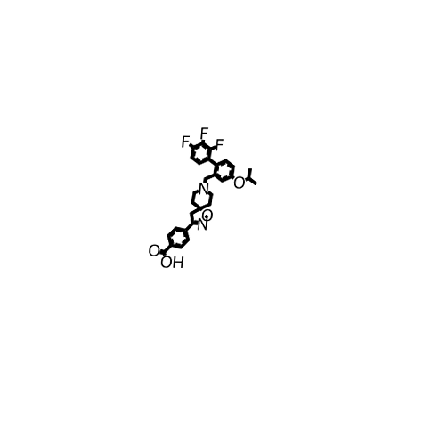 CC(C)Oc1ccc(-c2ccc(F)c(F)c2F)c(CN2CCC3(CC2)CC(c2ccc(C(=O)O)cc2)=NO3)c1